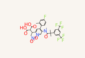 Cc1cc(F)ccc1-c1cc(C(C[N+](=O)[O-])C(C(=O)O)C(=O)O)ncc1N(C)C(=O)C(C)(C)c1cc(C(F)(F)F)cc(C(F)(F)F)c1